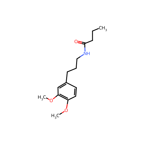 CCCC(=O)NCCCc1ccc(OC)c(OC)c1